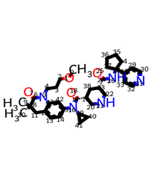 COCCCN1C(=O)C(C)(C)Cc2ccc(N(C(=O)[C@H]3CNC[C@@H](C(=O)NC4(c5ccncc5)CCCC4)C3)C3CC3)cc21